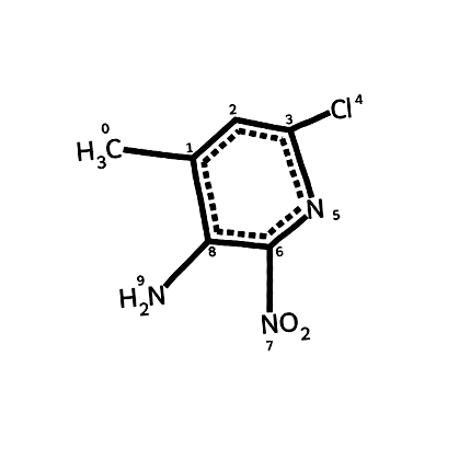 Cc1cc(Cl)nc([N+](=O)[O-])c1N